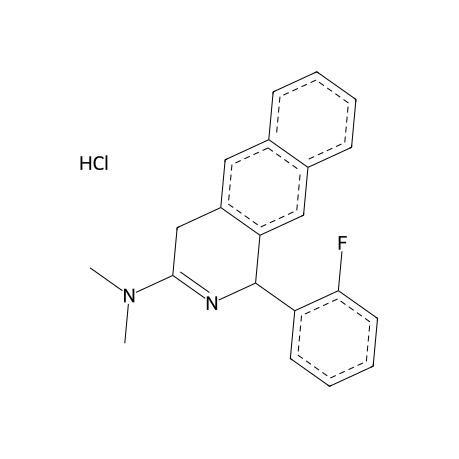 CN(C)C1=NC(c2ccccc2F)c2cc3ccccc3cc2C1.Cl